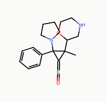 CC1(C2CNCCO2)C(=C=O)C1(c1ccccc1)N1CCCC1